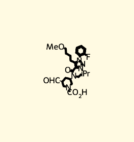 COCCCCc1c(C(=O)N(CC(C)C)[C@H]2C[C@@H](C=O)CN(C(=O)O)C2)nnn1-c1ccccc1F